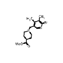 COC(=O)C1CCN(Cc2cnc(Br)c(C)c2C)CC1